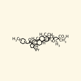 CC(C)C1=C2[C@H]3CC[C@@H]4[C@@]5(C)CC[C@H](OC(=O)CC(C)(C)C(=O)O)C(C)(C)C5CC[C@@]4(C)[C@]3(C)CC[C@@]2(C(=O)CN2CCN(C)CC2)CC1